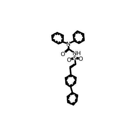 O=C(NS(=O)(=O)C=Cc1ccc(-c2ccccc2)cc1)N(c1ccccc1)c1ccccc1